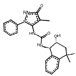 Cc1c(NC(=O)N[C@@H]2c3ccccc3C(C)(C)C[C@H]2O)n(-c2ccccc2)[nH]c1=O